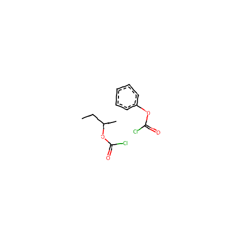 CCC(C)OC(=O)Cl.O=C(Cl)Oc1ccccc1